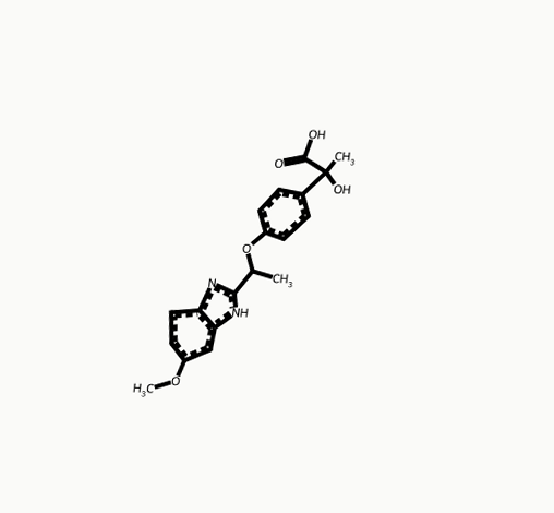 COc1ccc2nc(C(C)Oc3ccc(C(C)(O)C(=O)O)cc3)[nH]c2c1